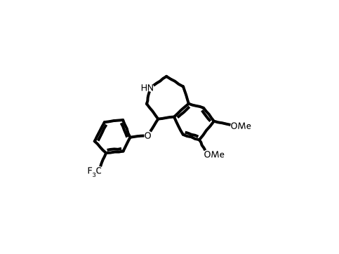 COc1cc2c(cc1OC)C(Oc1cccc(C(F)(F)F)c1)CNCC2